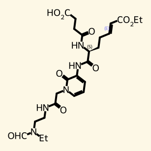 CCOC(=O)/C=C/CC[C@H](NC(=O)CCC(=O)O)C(=O)Nc1cccn(CC(=O)NCCN(C=O)CC)c1=O